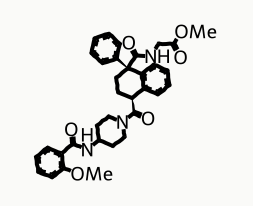 COC(=O)CNC(=O)[C@@]1(c2ccccc2)CC[C@H](C(=O)N2CCC(NC(=O)c3ccccc3OC)CC2)c2ccccc21